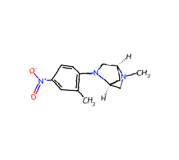 Cc1cc([N+](=O)[O-])ccc1N1C[C@@H]2C[C@H]1CN2C